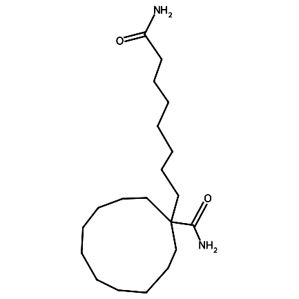 NC(=O)CCCCCCCC1(C(N)=O)CCCCCCCCCC1